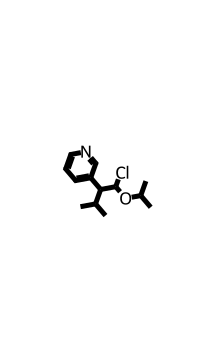 CC(C)OC(Cl)C(c1cccnc1)C(C)C